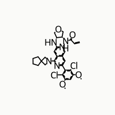 C=CC(=O)N[C@H]1COC[C@H]1Nc1cc2c(N3CC4(CCCC4)C3)nc(-c3c(Cl)c(OC)cc(OC)c3Cl)cc2cn1